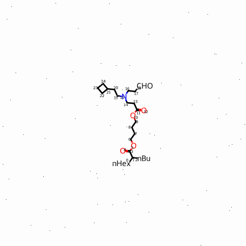 CCCCCCC(CCCC)C(=O)OCCCCOC(=O)CCN(CCC=O)CCC1CCC1